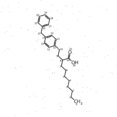 CCCCCCCCC(CCc1ccc(Cc2ccccc2)cc1)C(=O)O